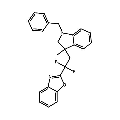 CC1(CC(F)(F)c2nc3ccccc3o2)CN(Cc2ccccc2)c2ccccc21